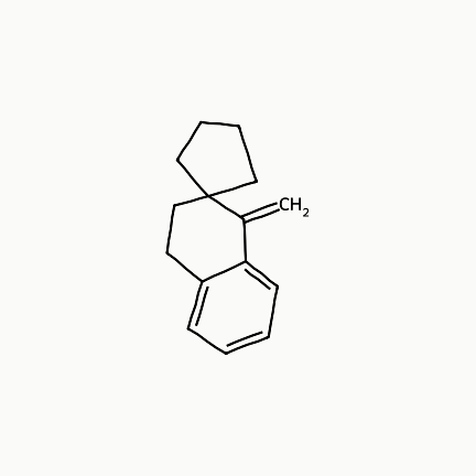 C=C1c2ccccc2CCC12CCCC2